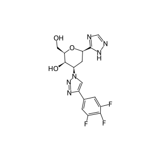 OC[C@H]1O[C@@H](c2ncn[nH]2)C[C@@H](n2cc(-c3cc(F)c(F)c(F)c3)nn2)[C@H]1O